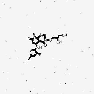 Cn1c(=O)cc(Nc2ccc(I)cc2F)c2c(=O)n(OCC(O)CO)cnc21